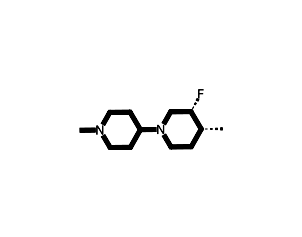 C[C@@H]1CCN(C2CCN(C)CC2)C[C@@H]1F